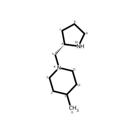 CC1CCN(C[C@@H]2CCCN2)CC1